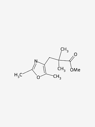 COC(=O)C(C)(C)Cc1nc(C)oc1C